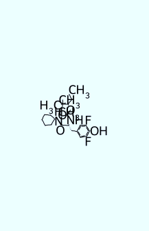 CCCC(OC(=O)N[C@H](Cc1cc(F)c(O)c(F)c1)C(=O)NC1CCCCC1)C(C)(C)C